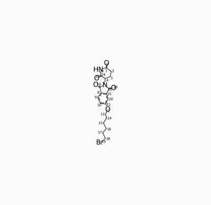 O=C1CCC(N2C(=O)c3ccc(OCCCCCCBr)cc3C2=O)C(=O)N1